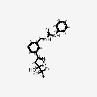 O=C(NCc1cccc(C2=NOC(O)(C(F)(F)F)C2)c1)Nc1ccccc1